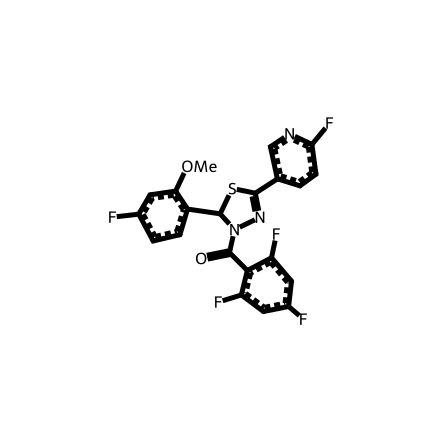 COc1cc(F)ccc1C1SC(c2ccc(F)nc2)=NN1C(=O)c1c(F)cc(F)cc1F